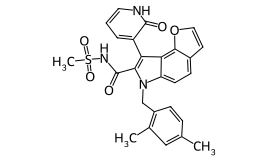 Cc1ccc(Cn2c(C(=O)NS(C)(=O)=O)c(-c3ccc[nH]c3=O)c3c4occc4ccc32)c(C)c1